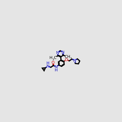 Cc1ncnc(C)c1-c1cc(NC(=O)CNC2CC2)ccc1OCCN1CCCC1